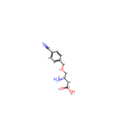 N#Cc1ccc(COC[C@H](N)CC(=O)O)cc1